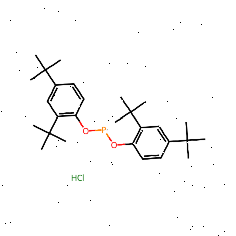 CC(C)(C)c1ccc(O[P]Oc2ccc(C(C)(C)C)cc2C(C)(C)C)c(C(C)(C)C)c1.Cl